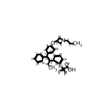 CCCN1CC(Oc2ccc(C(=C(CC)c3ccccc3)c3ccccc3)cc2)C1.O=C(O)C(F)(F)F